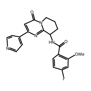 COc1cc(F)ccc1C(=O)NC1CCCn2c1nc(-c1ccncc1)cc2=O